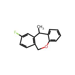 CC1c2cc(F)ccc2COc2ccccc21